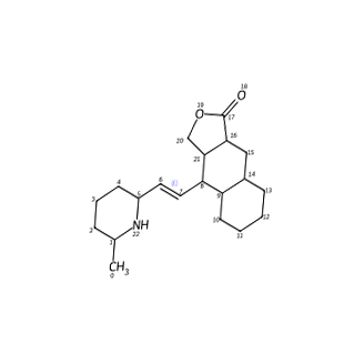 CC1CCCC(/C=C/C2C3CCCCC3CC3C(=O)OCC32)N1